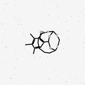 Cc1cc(C2OC3CCCCCCCC(CCC3)O2)c(O)c(C)c1I